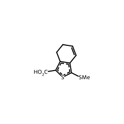 CSc1sc(C(=O)O)c2c1C=CCC2